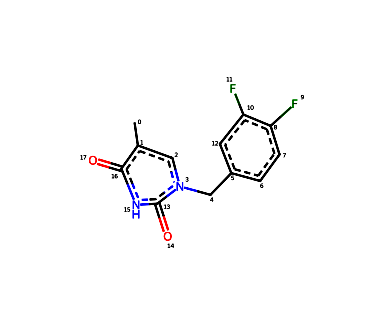 Cc1cn(Cc2ccc(F)c(F)c2)c(=O)[nH]c1=O